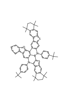 CC(C)(C)c1ccc(N2B3c4sc5cc6c(cc5c4N(c4ccc(C(C)(C)C)cc4)c4cc5c(oc7ccccc75)c(c43)-c3cc4c(cc32)sc2cc3c(cc24)C(C)(C)CCC3(C)C)C(C)(C)CCC6(C)C)cc1